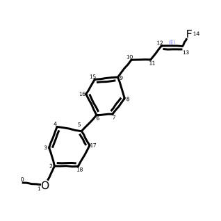 COc1ccc(-c2ccc(CC/C=C/F)cc2)cc1